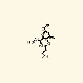 CCCCOc1c(C(=O)OC)oc(CBr)cc1=O